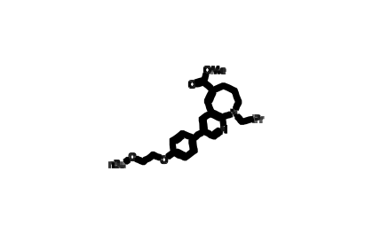 CCCCOCCOc1ccc(-c2cnc3c(c2)C=C(C(=O)OC)CCCN3CC(C)C)cc1